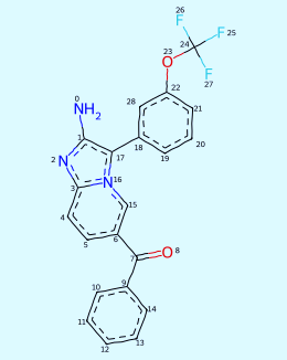 Nc1nc2ccc(C(=O)c3ccccc3)cn2c1-c1cccc(OC(F)(F)F)c1